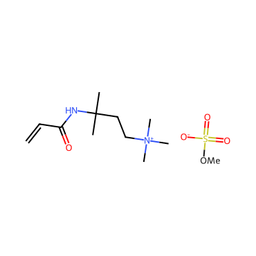 C=CC(=O)NC(C)(C)CC[N+](C)(C)C.COS(=O)(=O)[O-]